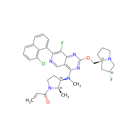 C=CC(=O)N1CC[C@@H](N(C)c2nc(OC[C@@]34CCCN3C[C@H](F)C4)nc3c(F)c(-c4cccc5cccc(Cl)c45)ncc23)[C@H]1C